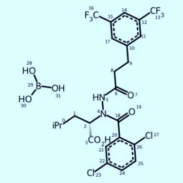 CC(C)C[C@@H](C(=O)O)N(NC(=O)CCc1cc(C(F)(F)F)cc(C(F)(F)F)c1)C(=O)c1cc(Cl)ccc1Cl.OB(O)O